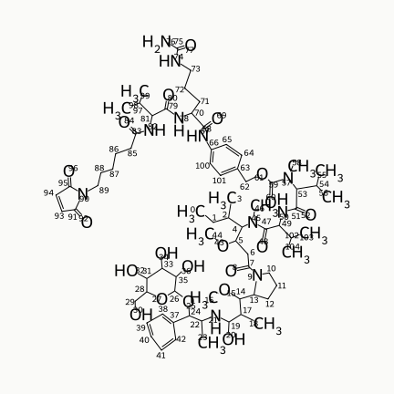 CCC(C)C(C(CC(=O)N1CCCC1C(OC)C(C)C(O)NC(C)C(OC1OC(CO)C(O)C(O)C1O)c1ccccc1)OC)N(C)C(=O)C(NC(=O)C(C(C)C)N(C)C(=O)OCc1ccc(NC(=O)C(CCCNC(N)=O)NC(=O)C(NC(=O)CCCCCN2C(=O)C=CC2=O)C(C)C)cc1)C(C)C